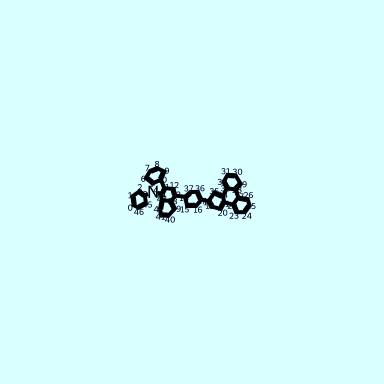 c1ccc(-n2c3ccccc3c3cc(-c4ccc(-c5ccc6c7ccccc7c7ccccc7c6c5)cc4)c4ccccc4c32)cc1